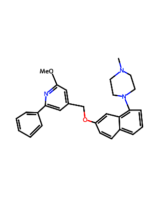 COc1cc(COc2ccc3cccc(N4CCN(C)CC4)c3c2)cc(-c2ccccc2)n1